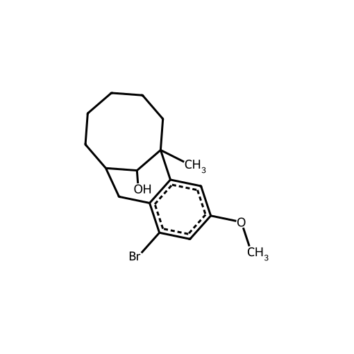 COc1cc(Br)c2c(c1)C1(C)CCCCCC(C2)C1O